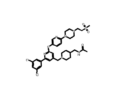 CC(=O)NCC1CCN(Cc2cc(Oc3ccc(N4CCN(CCS(C)(=O)=O)CC4)nc3)nc(-c3cc(Cl)cc(Cl)c3)c2)CC1